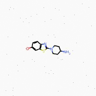 NC1CCN(c2nc3ccc([O])cc3s2)CC1